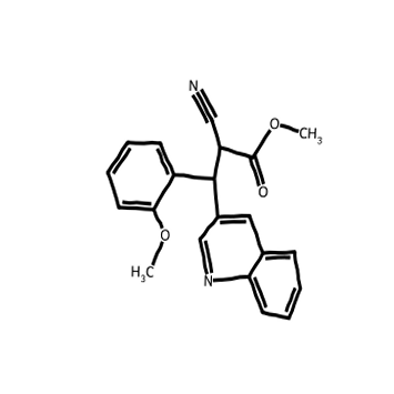 COC(=O)C(C#N)C(c1cnc2ccccc2c1)c1ccccc1OC